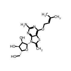 C=C1Sc2c(OCC=C(C)C)nc(N)nc2N1[C@@H]1O[C@H](CO)[C@@H](O)[C@H]1O